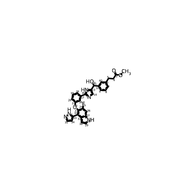 COC(=O)CCc1cccc(C(O)c2cnc(-c3cccc(Oc4c(F)cc5[nH]ccc5c4-c4ccn[nH]4)c3)[nH]2)c1